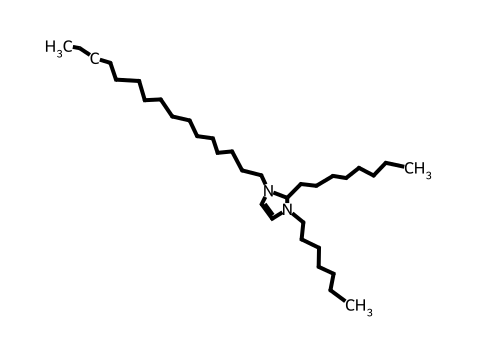 CCCCCCCCCCCCCCCCN1C=CN(CCCCCCC)C1CCCCCCCC